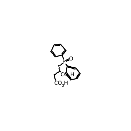 O=C(O)CC(SP(=O)(c1ccccc1)c1ccccc1)C(=O)O